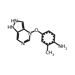 Cc1cc(ON2C=NC=C3NNC=C32)ccc1N